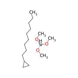 CCCCCCCCCC1CC1.CO[SiH](OC)OC